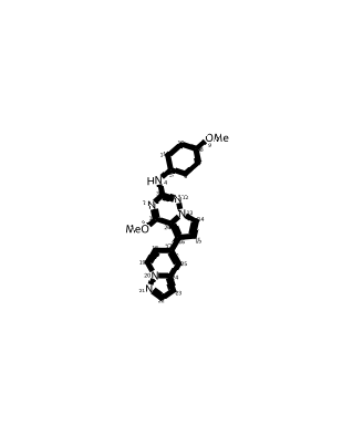 COc1nc(NC2CCC(OC)CC2)nn2ccc(-c3ccn4nccc4c3)c12